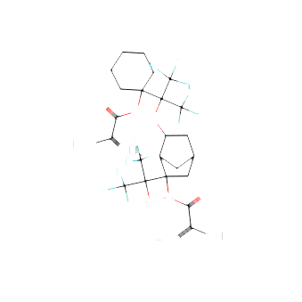 C=C(C)C(=O)OC1(C(OC2CC3CC2C(OC(=O)C(=C)C)(C(O)(C(F)(F)F)C(F)(F)F)C3)(C(F)(F)F)C(F)(F)F)CCCCC1